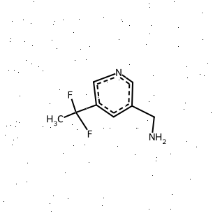 CC(F)(F)c1cncc(CN)c1